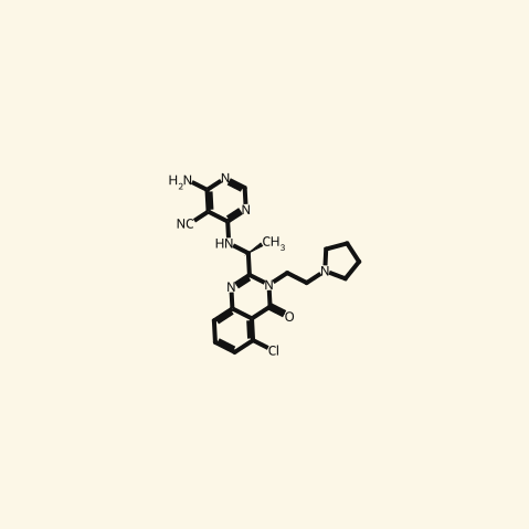 C[C@H](Nc1ncnc(N)c1C#N)c1nc2cccc(Cl)c2c(=O)n1CCN1CCCC1